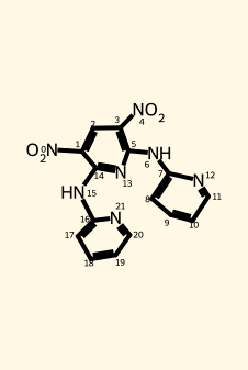 O=[N+]([O-])c1cc([N+](=O)[O-])c(Nc2ccccn2)nc1Nc1ccccn1